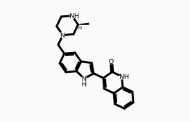 C[C@H]1CN(Cc2ccc3[nH]c(-c4cc5ccccc5[nH]c4=O)cc3c2)CCN1